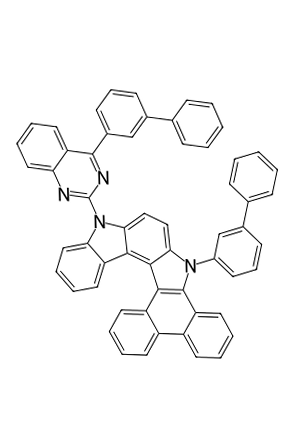 c1ccc(-c2cccc(-c3nc(-n4c5ccccc5c5c6c7c8ccccc8c8ccccc8c7n(-c7cccc(-c8ccccc8)c7)c6ccc54)nc4ccccc34)c2)cc1